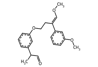 CO/C=C(\CCOc1cccc(C(C)C=O)c1)c1cccc(OC)c1